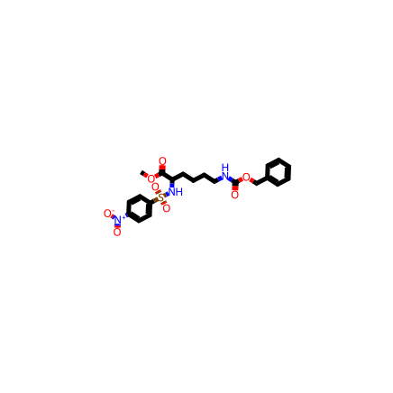 COC(=O)C(CCCCNC(=O)OCc1ccccc1)NS(=O)(=O)c1ccc([N+](=O)[O-])cc1